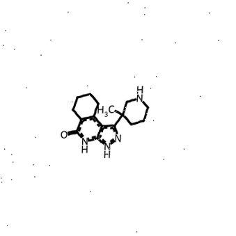 CC1(c2n[nH]c3[nH]c(=O)c4c(c23)CCCC4)CCCNC1